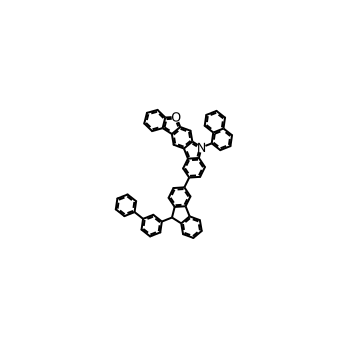 c1ccc(-c2cccc(C3c4ccccc4-c4cc(-c5ccc6c(c5)c5cc7c(cc5n6-c5cccc6ccccc56)oc5ccccc57)ccc43)c2)cc1